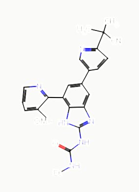 CCNC(=O)Nc1nc2cc(-c3ccc(C(C)(C)C#N)nc3)cc(-c3ncccc3OC)c2[nH]1